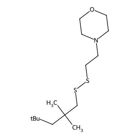 CC(C)(C)CC(C)(C)CSSCCN1CCOCC1